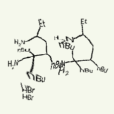 Br.Br.CCCCC(CC(N)CC)C(N)(CCCC)CCCC.CCCCC(CC(N)CC)C(N)(CCCC)CCCC